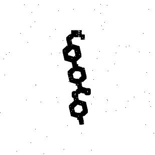 CN1CCC(OC(=O)N2CCN(c3ccc(CN)cc3)CC2)CC1